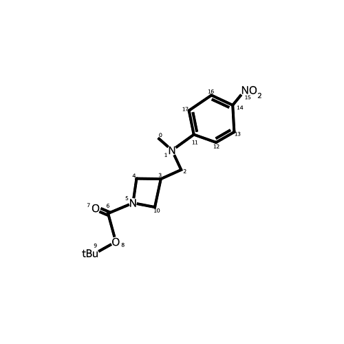 CN(CC1CN(C(=O)OC(C)(C)C)C1)c1ccc([N+](=O)[O-])cc1